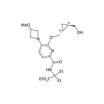 CCOC(=O)C(CC)(CC)NC(=O)c1ccc(N2CC(OC)C2)c(OC[C@@H]2C[C@H]2CO)n1